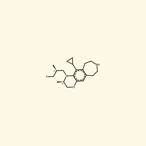 C[C@H](CF)CN1c2c(cc3c(c2C2CC2)CCNCC3)OC[C@H]1C